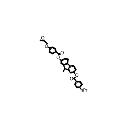 CCCc1ccc(C(=O)Oc2ccc3c(c2)C(C)c2cc(OC(=O)c4ccc(OCC5CO5)cc4)ccc2-3)cc1